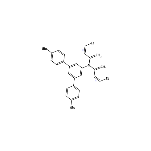 C=C(/C=C\CC)N(C(=C)/C=C\CC)c1cc(-c2ccc(C(C)(C)C)cc2)cc(-c2ccc(C(C)(C)C)cc2)c1